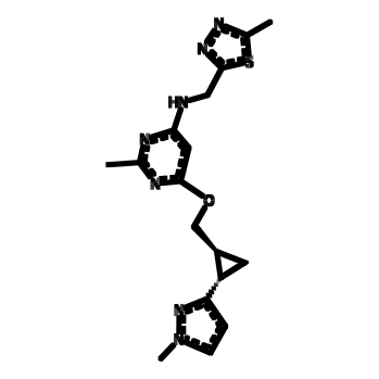 Cc1nc(NCc2nnc(C)s2)cc(OC[C@H]2C[C@@H]2c2ccn(C)n2)n1